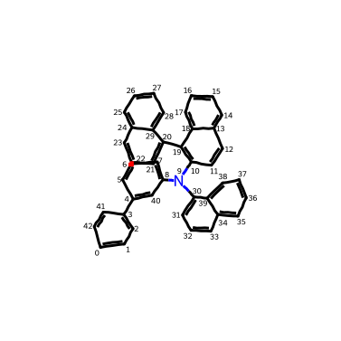 c1ccc(-c2cccc(N(c3ccc4ccccc4c3-c3cccc4ccccc34)c3cccc4ccccc34)c2)cc1